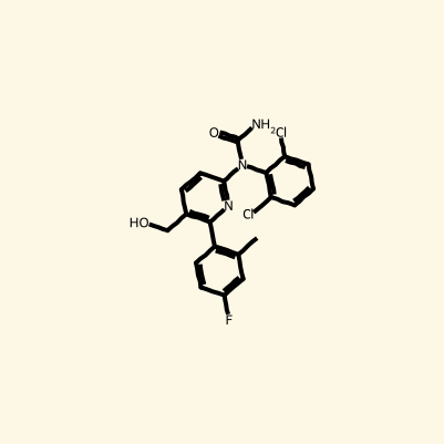 Cc1cc(F)ccc1-c1nc(N(C(N)=O)c2c(Cl)cccc2Cl)ccc1CO